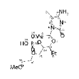 CC[C@H](OC(C)n1cc(C)c(N)nc1=O)C(COCCOC)OP(=O)(O)OC